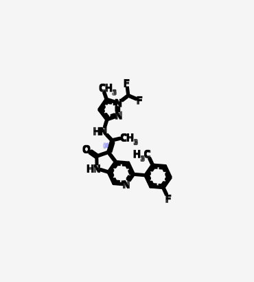 C/C(Nc1cc(C)n(C(F)F)n1)=C1/C(=O)Nc2cnc(-c3cc(F)ccc3C)cc21